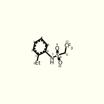 CCc1ccccc1NS(=O)(=O)CC(F)(F)F